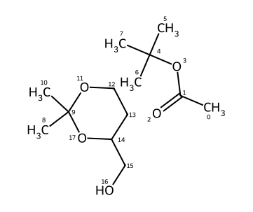 CC(=O)OC(C)(C)C.CC1(C)OCCC(CO)O1